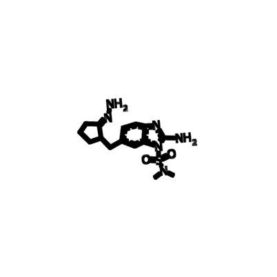 CN(C)S(=O)(=O)n1c(N)nc2ccc(CC3CCCC3=NN)cc21